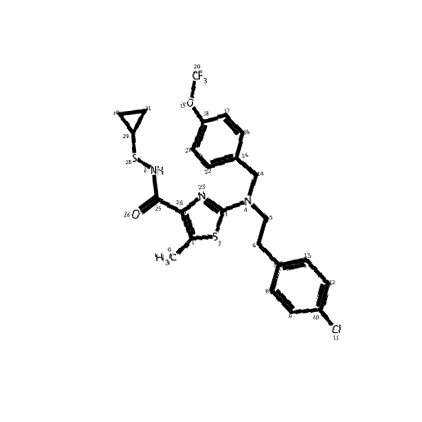 Cc1sc(N(CCc2ccc(Cl)cc2)Cc2ccc(OC(F)(F)F)cc2)nc1C(=O)NSC1CC1